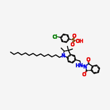 CCCCCCCCCCCCCCN1c2ccc(CNN3C(=O)c4ccccc4C3=O)cc2C(C)(C)C1C.O=S(=O)(O)c1ccc(Cl)cc1